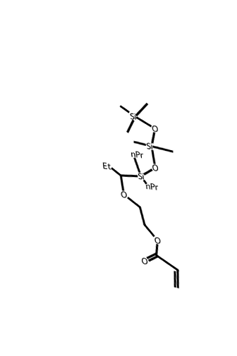 C=CC(=O)OCCOC(CC)[Si](CCC)(CCC)O[Si](C)(C)O[Si](C)(C)C